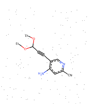 CCOC(C#Cc1cnc(C#N)cc1N)OCC